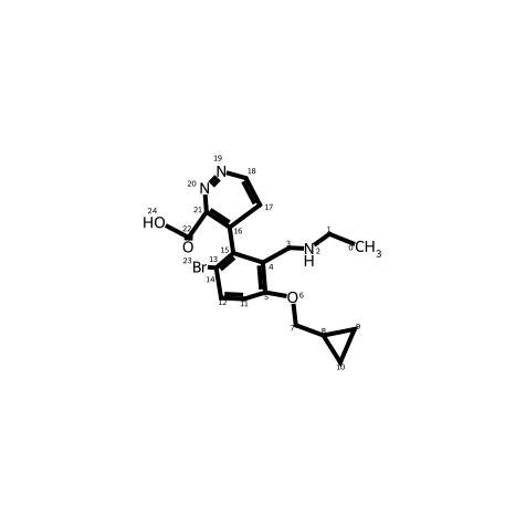 CCNCc1c(OCC2CC2)ccc(Br)c1-c1ccnnc1C(=O)O